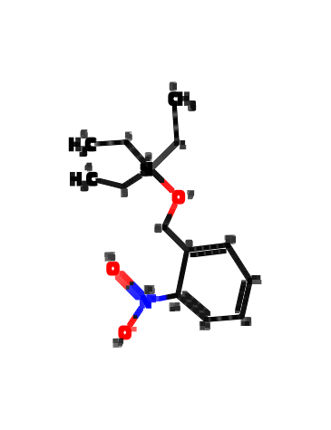 CC[Si](CC)(CC)OCc1ccccc1[N+](=O)[O-]